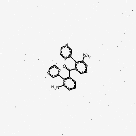 Nc1cccc(C(=O)c2cccc(N)c2-c2cnccn2)c1-c1cnccn1